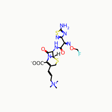 C[N+](C)(C)C/C=C/C1=C(C(=O)[O-])N2C(=O)[C@@H](NC(=O)/C(=N\OCF)c3nsc(N)n3)[C@@H]2SC1